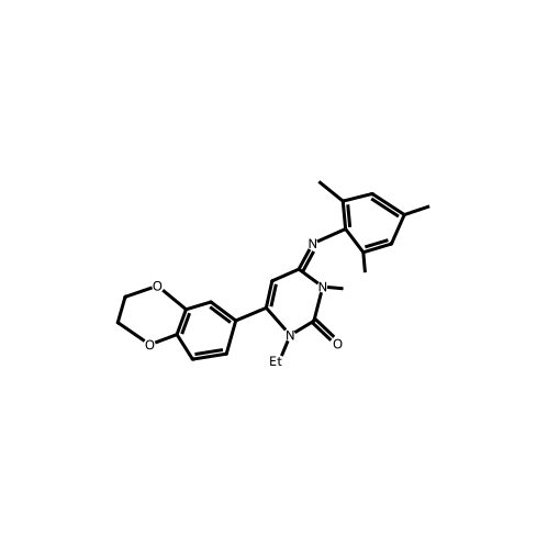 CCn1c(-c2ccc3c(c2)OCCO3)c/c(=N/c2c(C)cc(C)cc2C)n(C)c1=O